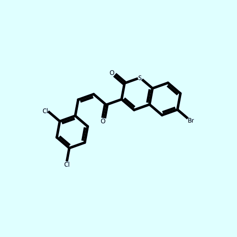 O=C(/C=C\c1ccc(Cl)cc1Cl)c1cc2cc(Br)ccc2sc1=O